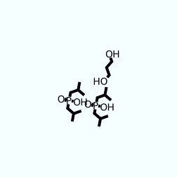 CC(C)CP(=O)(O)CC(C)C.CC(C)CP(=O)(O)CC(C)C.OCCCO